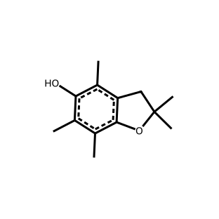 Cc1c(C)c2c(c(C)c1O)CC(C)(C)O2